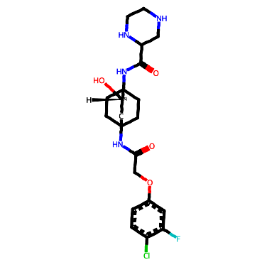 O=C(COc1ccc(Cl)c(F)c1)NC12CCC(NC(=O)C3CNCCN3)(CC1)[C@@H](O)C2